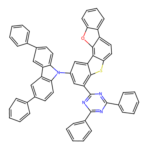 c1ccc(-c2ccc3c(c2)c2cc(-c4ccccc4)ccc2n3-c2cc(-c3nc(-c4ccccc4)nc(-c4ccccc4)n3)c3sc4ccc5c6ccccc6oc5c4c3c2)cc1